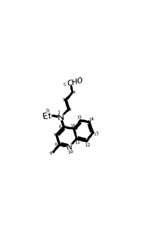 CCN(CCCC=O)c1cc(C)nc2ccccc12